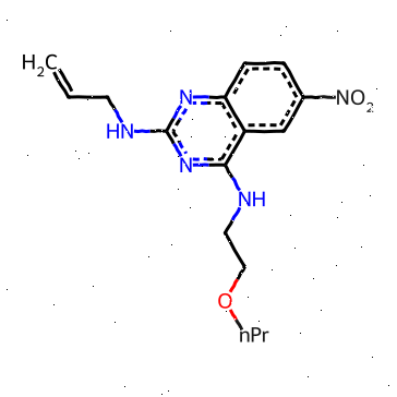 C=CCNc1nc(NCCOCCC)c2cc([N+](=O)[O-])ccc2n1